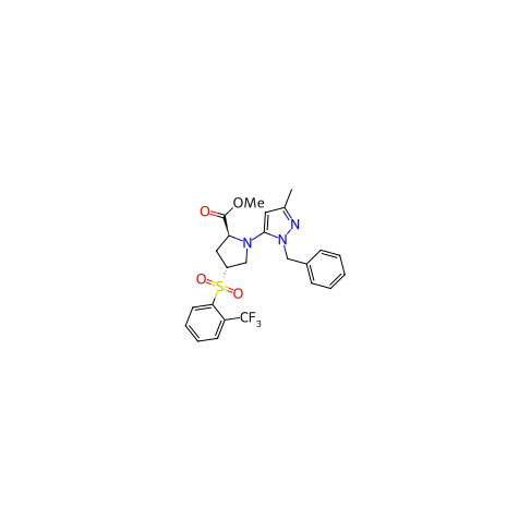 COC(=O)[C@@H]1C[C@@H](S(=O)(=O)c2ccccc2C(F)(F)F)CN1c1cc(C)nn1Cc1ccccc1